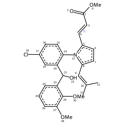 COC(=O)/C=C/c1ccc(C=C(C)C)n1-c1ccc(Cl)cc1C(O)c1cccc(OC)c1OC